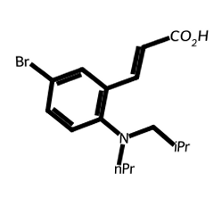 CCCN(CC(C)C)c1ccc(Br)cc1C=CC(=O)O